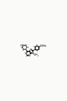 COc1ccc(-c2nc3c(N4CCNCC4)ncnc3n2C)cn1